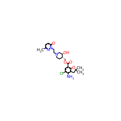 Cc1ccc(=O)n(CCN2CC[C@@H](COC(=O)c3cc(Cl)c(N)c4c3OC(C)(C)C4)[C@H](O)C2)n1